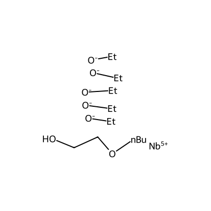 CCCCOCCO.CC[O-].CC[O-].CC[O-].CC[O-].CC[O-].[Nb+5]